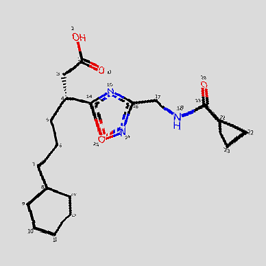 O=C(O)C[C@@H](CCCC1CCCCC1)c1nc(CNC(=O)C2CC2)no1